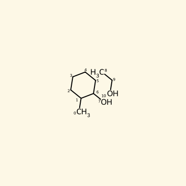 CC1CCCCC1O.CCO